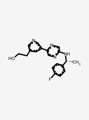 C[C@@H](Nc1cnc(-c2cncc(CCO)c2)cn1)c1ccc(F)cc1